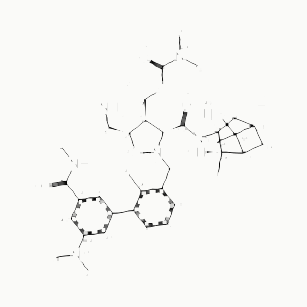 CNC(=O)c1cc(-c2cccc(CN3O[C@@H](CN)[C@@H]([C@H](C)OC(=O)N(C)C)[C@H]3C(=O)N[C@H]3C[C@H]4C[C@@H]([C@@H]3C)C4(C)C)c2C)cc(N(C)C)c1